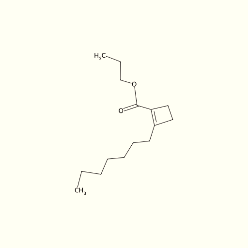 CCCCCCCC1=C(C(=O)OCCC)CC1